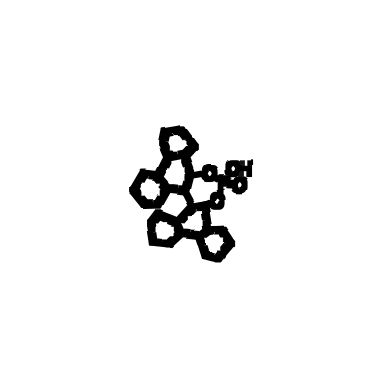 O=P1(O)Oc2c(c3ccccc3c3ccccc23)-c2c(c3ccccc3c3ccccc23)O1